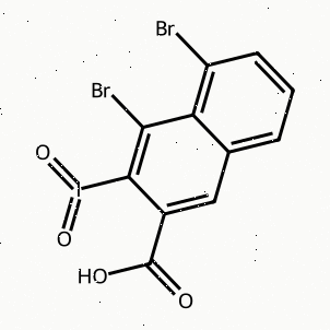 O=C(O)c1cc2cccc(Br)c2c(Br)c1I(=O)=O